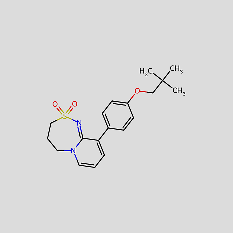 CC(C)(C)COc1ccc(C2=CC=CN3CCCS(=O)(=O)N=C23)cc1